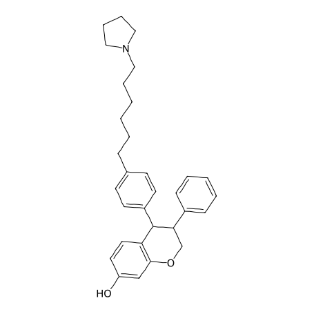 Oc1ccc2c(c1)OCC(c1ccccc1)C2c1ccc(CCCCCCN2CCCC2)cc1